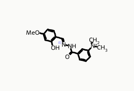 C=[N+](C)c1cccc(C(=O)N/N=C/c2ccc(OC)cc2O)c1